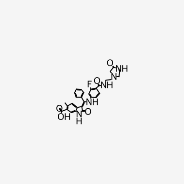 Cc1cc2c(cc1C(=O)O)NC(=O)/C2=C(\Nc1ccc(C(=O)NCCN2CCNC(=O)C2)c(F)c1)c1ccccc1